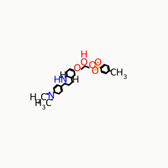 CCN(CC)[C@@H]1C=CC(C2CC[C@@H]3CC(OCC(O)COS(=O)(=O)c4ccc(C)cc4)=CC[C@@H]3N2)=CC1